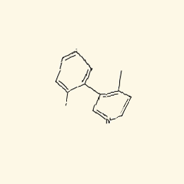 Cc1cc[c]cc1-c1cnccc1C